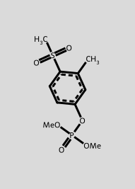 COP(=O)(OC)Oc1ccc(S(C)(=O)=O)c(C)c1